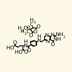 COC1(C)C(=O)OC(=O)C1C.Nc1nc2ncc(CNc3ccc(C(=O)NC(CCC(=O)O)C(=O)O)cc3)nc2c(=O)[nH]1